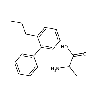 CC(N)C(=O)O.CCCc1ccccc1-c1ccccc1